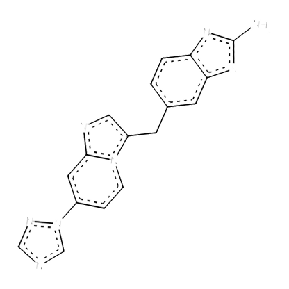 Nc1nc2ccc(Cc3cnc4cc(-n5cncn5)ccn34)cc2s1